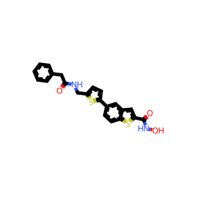 O=C(Cc1ccccc1)NCc1ccc(-c2ccc3sc(C(=O)NO)cc3c2)s1